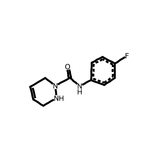 O=C(Nc1ccc(F)cc1)N1CC=CCN1